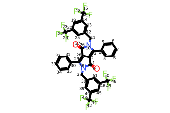 O=C1C2=C(c3ccccc3)N(Cc3cc(C(F)(F)F)cc(C(F)(F)F)c3)C(=O)C2=C(c2ccccc2)N1Cc1cc(C(F)(F)F)cc(C(F)(F)F)c1